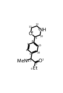 CCC(=O)C(NC)c1ccc(C2CNCCO2)cc1